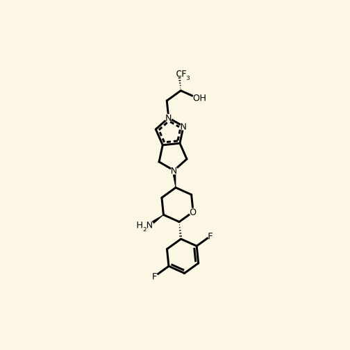 N[C@H]1C[C@@H](N2Cc3cn(C[C@@H](O)C(F)(F)F)nc3C2)CO[C@@H]1C1CC(F)=CC=C1F